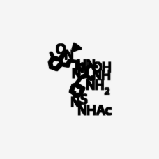 CC(=O)Nc1nc2ccc(-c3nn(Cc4cc5cccc(C)c5c(=O)n4C4CC4)c(NO)c3C(=N)N)cc2s1